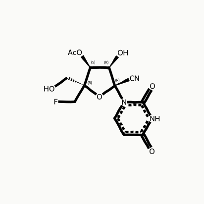 CC(=O)O[C@H]1[C@@H](O)[C@](C#N)(n2ccc(=O)[nH]c2=O)O[C@@]1(CO)CF